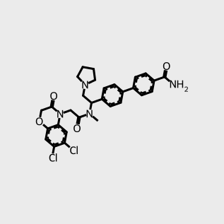 CN(C(=O)CN1C(=O)COc2cc(Cl)c(Cl)cc21)C(CN1CCCC1)c1ccc(-c2ccc(C(N)=O)cc2)cc1